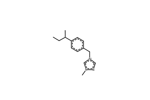 CCC(C)c1ccc(C[n+]2cnn(C)c2)cc1